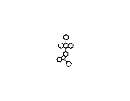 C/C=C\c1c(C)c(-c2ccccc2)c2ccccc2c1-c1ccc2c(c1)c1ccccc1n2C1=CCCC=C1